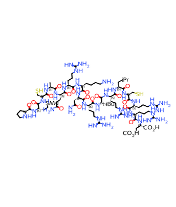 CC[C@H](C)[C@H](NC(=O)[C@H](CCCNC(=N)N)NC(=O)[C@H](CC(N)=O)NC(=O)[C@H](CCCCN)NC(=O)[C@H](CCCNC(=N)N)NC(=O)[C@H](CCC(N)=O)NC(=O)[C@H](C)NC(=O)[C@H](CS)NC(=O)[C@H](CCSC)NC(=O)[C@@H]1CCCN1)C(=O)N[C@@H](CCCNC(=N)N)C(=O)N[C@@H](CC(C)C)C(=O)N[C@@H](CS)C(=O)N[C@@H](CCCNC(=N)N)C(=O)N[C@@H](CCCNC(=N)N)C(=O)N[C@@H](CC(=O)O)C(=O)O